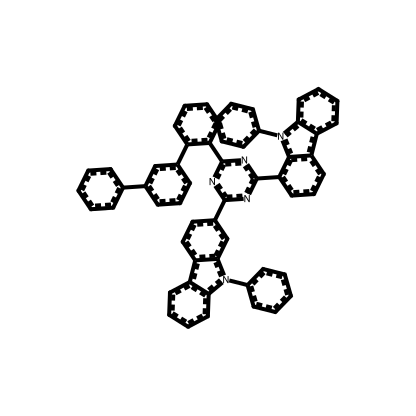 c1ccc(-c2cccc(-c3ccccc3-c3nc(-c4ccc5c6ccccc6n(-c6ccccc6)c5c4)nc(-c4cccc5c6ccccc6n(-c6ccccc6)c45)n3)c2)cc1